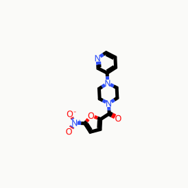 O=C(c1ccc([N+](=O)[O-])o1)N1CCN(c2cccnc2)CC1